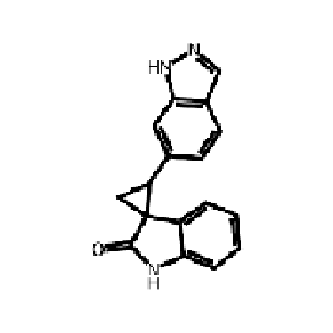 O=C1Nc2ccccc2C12CC2c1ccc2cn[nH]c2c1